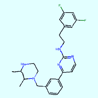 CC1NCCN(Cc2cccc(-c3ccnc(NCCc4cc(F)cc(F)c4)n3)c2)C1C